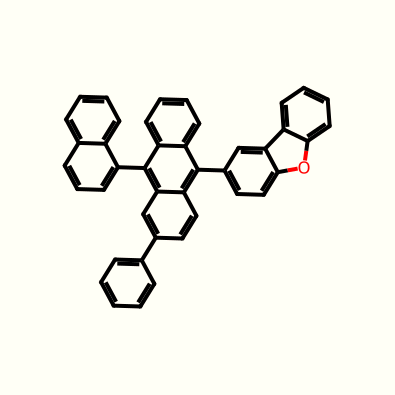 c1ccc(-c2ccc3c(-c4ccc5oc6ccccc6c5c4)c4ccccc4c(-c4cccc5ccccc45)c3c2)cc1